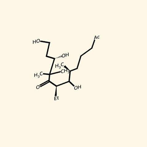 CC[C@@H](C(=O)C(C)(C)[C@@H](O)CCO)C(O)[C@@H](C)CCCC(C)=O